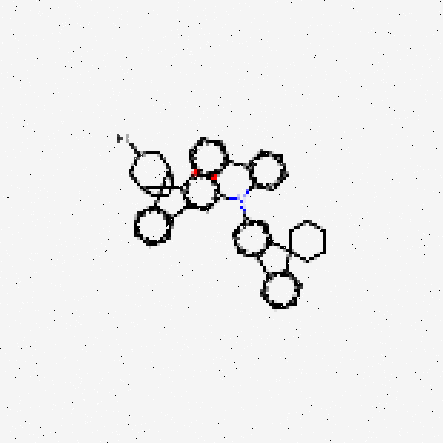 CCC1CC2CCCC(C1)C21c2ccccc2-c2cc(N(c3ccc4c(c3)C3(CCCCC3)c3ccccc3-4)c3ccccc3-c3ccccc3)ccc21